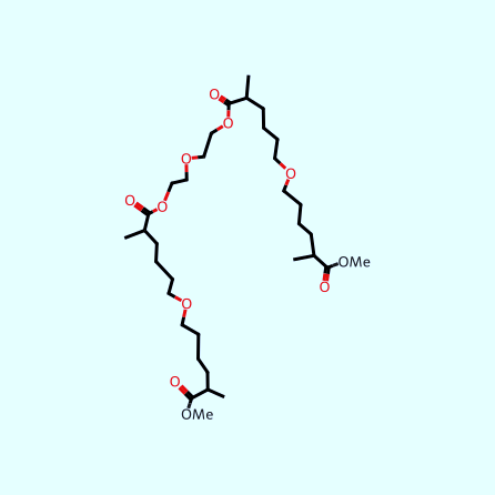 COC(=O)C(C)CCCCOCCCCC(C)C(=O)OCCOCCOC(=O)C(C)CCCCOCCCCC(C)C(=O)OC